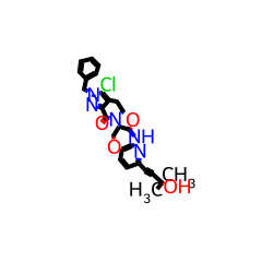 CC(C)(O)C#Cc1ccc2c(n1)NC(=O)C(N1CCc3c(nn(Cc4ccccc4)c3Cl)C1=O)CO2